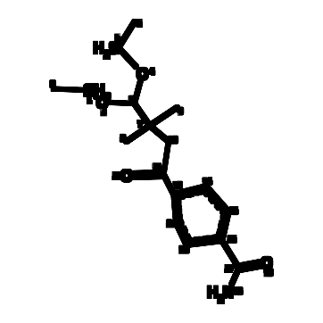 C[SiH2]OC(O[SiH2]C)C(C)(C)CC(=O)c1ccc(C(N)=O)cc1